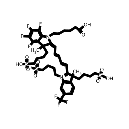 CC1(CCCCS(=O)(=O)O)C(/C=C/C=C/C=C2/N(CCCCCC(=O)O)c3c(F)c(F)c(F)c(F)c3C2(C)CCCCS(=O)(=O)O)=[N+](CCCCS(=O)(=O)O)c2cc(C(F)(F)F)ccc21